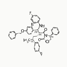 C[C@@H](CC[C@@H](C(=O)N1C(=O)OC[C@@H]1c1ccccc1)[C@H](Nc1ccc(F)cc1)c1ccc(OCc2ccccc2)cc1F)c1ccc(F)cc1